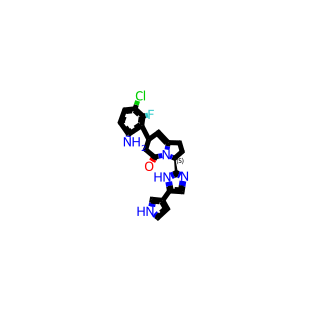 Nc1ccc(Cl)c(F)c1C1C=C2CC[C@@H](c3ncc(-c4cc[nH]c4)[nH]3)N2C(=O)C1